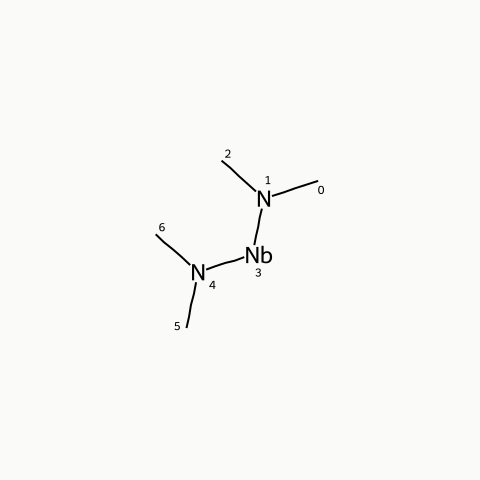 C[N](C)[Nb][N](C)C